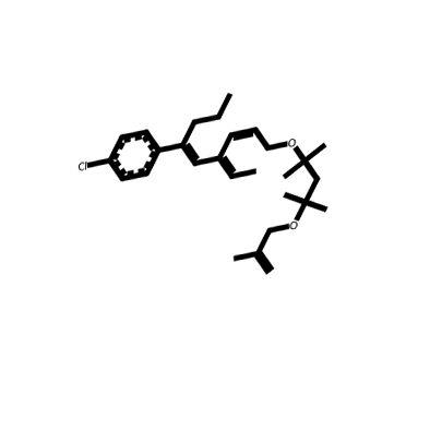 C=C(C)COC(C)(C)CC(C)(C)OC\C=C/C(=C\C)/C=C(\CCC)c1ccc(Cl)cc1